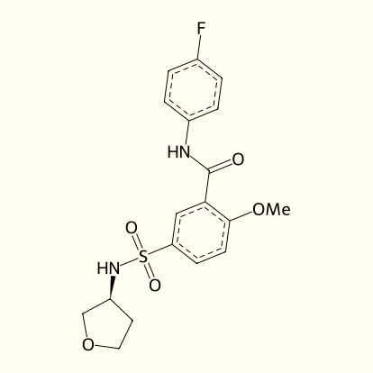 COc1ccc(S(=O)(=O)N[C@H]2CCOC2)cc1C(=O)Nc1ccc(F)cc1